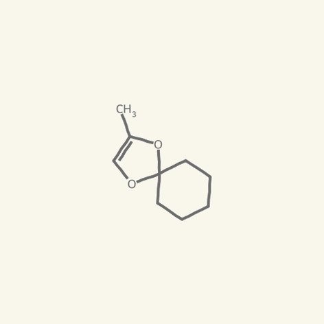 CC1=COC2(CCCCC2)O1